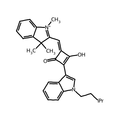 CC(C)CCn1cc(C2=C(O)/C(=C/C3=[N+](C)c4ccccc4C3(C)C)C2=O)c2ccccc21